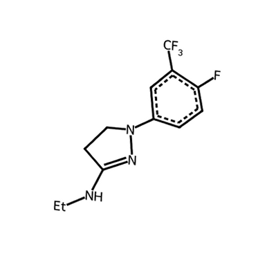 CCNC1=NN(c2ccc(F)c(C(F)(F)F)c2)CC1